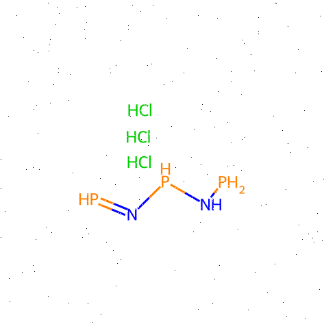 Cl.Cl.Cl.P=NPNP